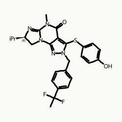 CC(C)[C@@H]1CN2C(=N1)N(C)C(=O)c1c2nn(Cc2ccc(C(C)(F)F)cc2)c1Sc1ccc(O)cc1